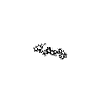 CCCCc1cc2ccccc2c(OCC[N+](C)(C)CC(C(N)=O)C2=CCC(Cl)(OC[C@H]3CCCN3c3ccnc4ncnn34)C=C2)n1